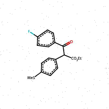 CCOC(=O)C(C(=O)c1ccc(F)cc1)c1ccc(SC)cc1